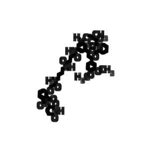 CCC(C)(C)C(=O)C(=O)N1CCCCC1C(=O)OC(CCc1ccc(OC)c(OC)c1)c1cccc(NC(=O)CCC(=O)NCCCCNC(=O)COc2cccc3c2C(=O)N(C2CCC(=O)NC2=O)C3=O)c1